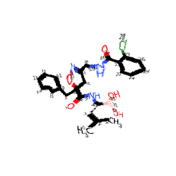 CC(C)C[C@H](NC(=O)C1(Cc2ccccc2)CC(CNC(=O)c2ccccc2Cl)=NO1)B(O)O